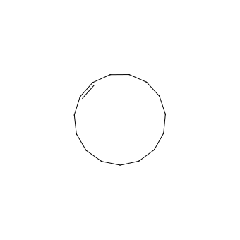 C1=CCCCCCCCCCCCCC1